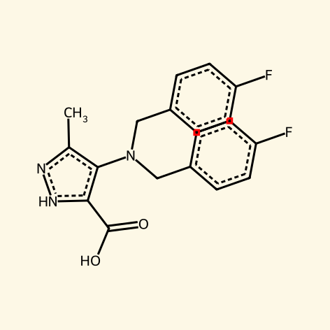 Cc1n[nH]c(C(=O)O)c1N(Cc1ccc(F)cc1)Cc1ccc(F)cc1